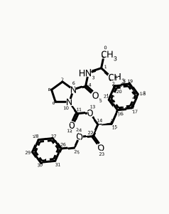 CC(C)NC(=O)N1CCCN1C(=O)O[C@@H](Cc1ccccc1)C(=O)OCc1ccccc1